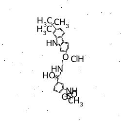 CC(C)(C)c1ccc2c(c1)[nH]c1cc(OCCNC[C@H](O)c3cccc(NS(C)(=O)=O)c3)ccc12.Cl